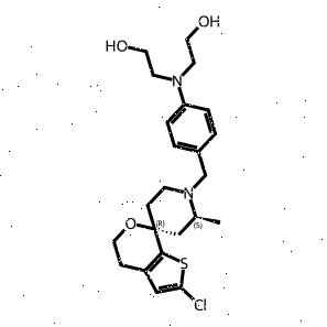 C[C@H]1C[C@@]2(CCN1Cc1ccc(N(CCO)CCO)cc1)OCCc1cc(Cl)sc12